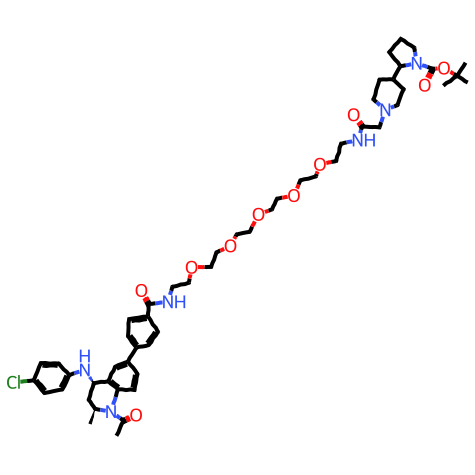 CC(=O)N1c2ccc(-c3ccc(C(=O)NCCOCCOCCOCCOCCOCCNC(=O)CN4CCC(C5CCCN5C(=O)OC(C)(C)C)CC4)cc3)cc2[C@H](Nc2ccc(Cl)cc2)C[C@@H]1C